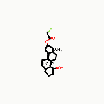 C[C@]12CC[C@H]3C(=C1C[C@@H](OC(=O)CF)C2)CC[C@@H]1CCC=C(O)[C@@]13C